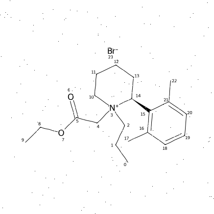 CCC[N+]1(CC(=O)OCC)CCCC[C@H]1c1c(C)cccc1C.[Br-]